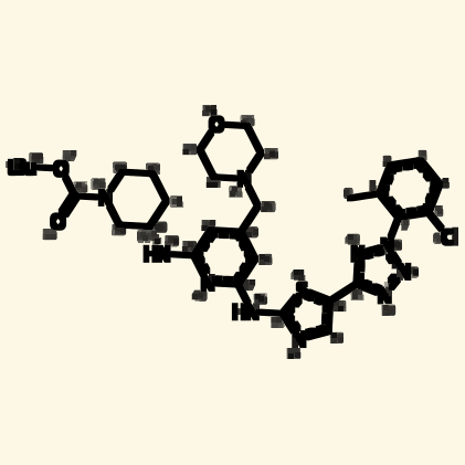 Cc1cccc(Cl)c1-n1nnc(-c2cnc(Nc3cc(CN4CCOCC4)cc(N[C@H]4CCCN(C(=O)OC(C)(C)C)C4)n3)s2)n1